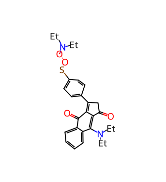 CCN(CC)OOSc1ccc(C2=C3C(=O)c4ccccc4C(N(CC)CC)=C3C(=O)C2)cc1